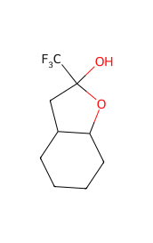 OC1(C(F)(F)F)CC2CCCCC2O1